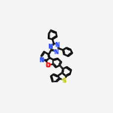 c1ccc(-c2nc(-c3ccccc3)nc(-c3ccnc4oc5cc(-c6cccc7sc8ccccc8c67)ccc5c34)n2)cc1